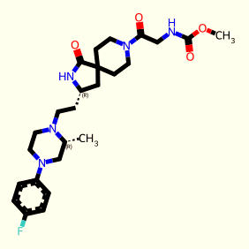 COC(=O)NCC(=O)N1CCC2(CC1)C[C@H](CCN1CCN(c3ccc(F)cc3)C[C@H]1C)NC2=O